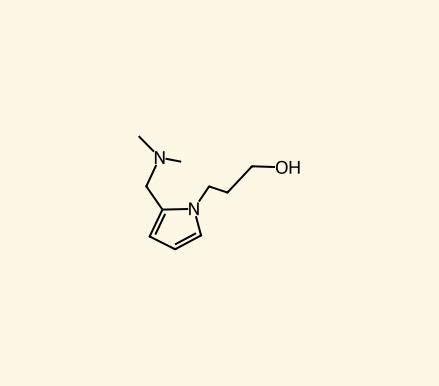 CN(C)Cc1cccn1CCCO